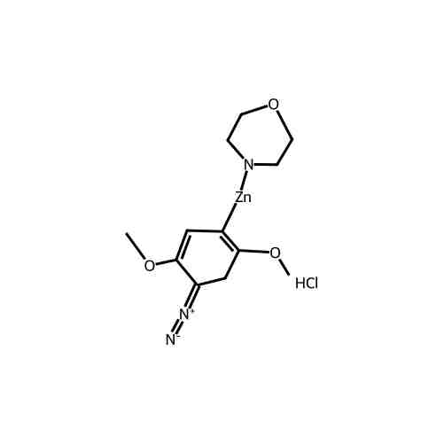 COC1=C[C]([Zn][N]2CCOCC2)=C(OC)CC1=[N+]=[N-].Cl